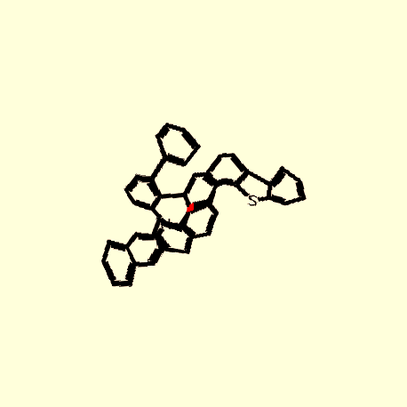 c1ccc(-c2ccccc2-c2c(-c3ccccc3)cccc2N(c2cccc(-c3cccc4c3sc3ccccc34)c2)c2ccc3ccccc3c2)cc1